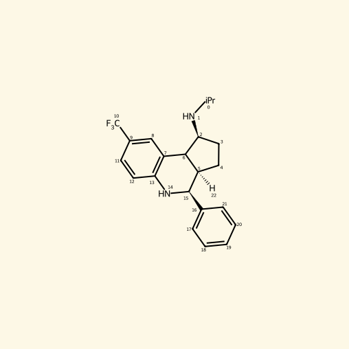 CC(C)N[C@H]1CC[C@@H]2C1c1cc(C(F)(F)F)ccc1N[C@@H]2c1ccccc1